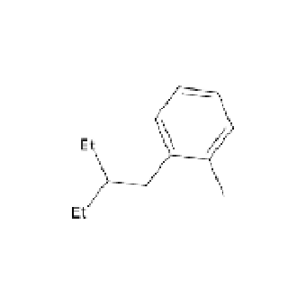 CCC(CC)Cc1ccccc1C